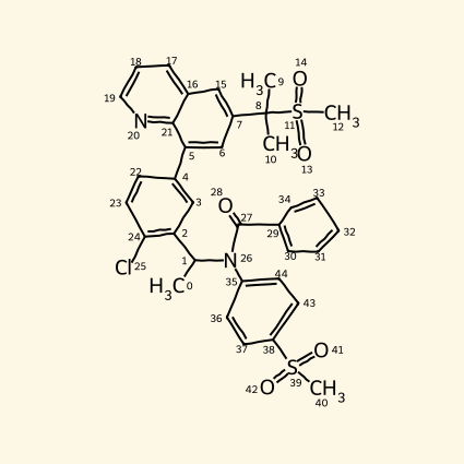 CC(c1cc(-c2cc(C(C)(C)S(C)(=O)=O)cc3cccnc23)ccc1Cl)N(C(=O)c1ccccc1)c1ccc(S(C)(=O)=O)cc1